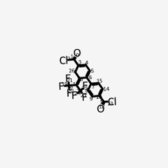 O=C(Cl)C1=CC=C(c2ccc(C(=O)Cl)cc2)C(=C(C(F)(F)F)C(F)(F)F)C1